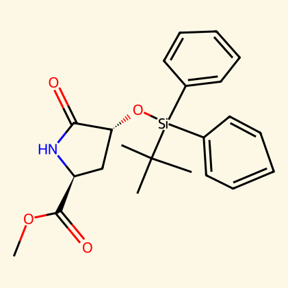 COC(=O)[C@@H]1C[C@@H](O[Si](c2ccccc2)(c2ccccc2)C(C)(C)C)C(=O)N1